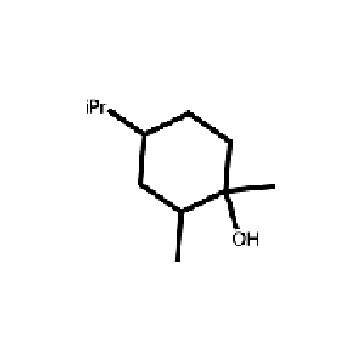 CC(C)C1CCC(C)(O)C(C)C1